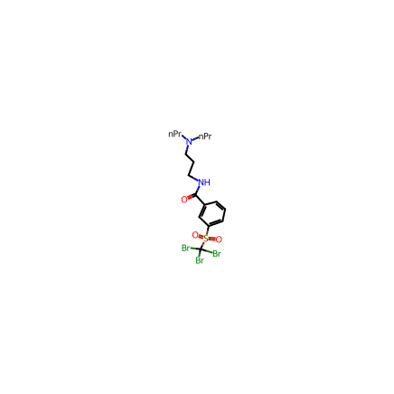 CCCN(CCC)CCCNC(=O)c1cccc(S(=O)(=O)C(Br)(Br)Br)c1